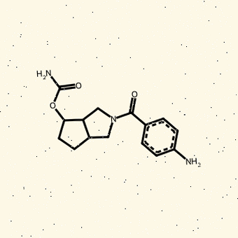 NC(=O)OC1CCC2CN(C(=O)c3ccc(N)cc3)CC21